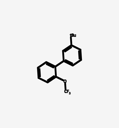 CC(C)(C)c1cccc(-c2ccccc2OC(F)(F)F)c1